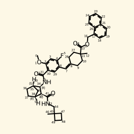 COc1cc(F)c(C=C2CCC(C)(C(=O)OCc3cccc4ccccc34)CC2)cc1C(=O)N[C@@H]1[C@H]2CC[C@H](C2)[C@@H]1C(=O)NCC1(C)CCC1